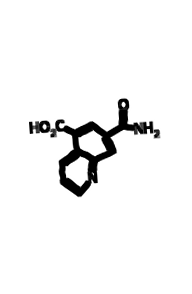 NC(=O)c1cc(C(=O)O)c2cccnc2c1